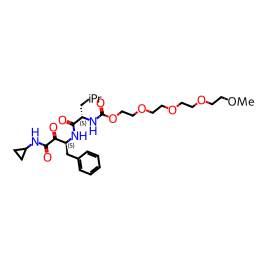 COCCOCCOCCOCCOC(=O)N[C@@H](CC(C)C)C(=O)N[C@@H](Cc1ccccc1)C(=O)C(=O)NC1CC1